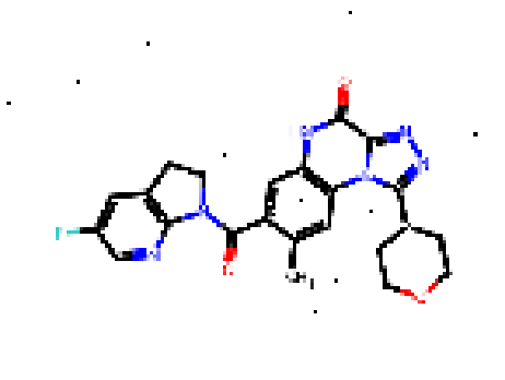 Cc1cc2c(cc1C(=O)N1CCc3cc(F)cnc31)[nH]c(=O)c1nnc(C3CCOCC3)n12